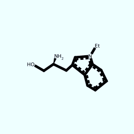 CCn1cc(C[C@H](N)CO)c2ccccc21